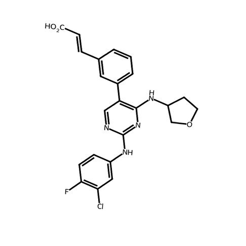 O=C(O)C=Cc1cccc(-c2cnc(Nc3ccc(F)c(Cl)c3)nc2NC2CCOC2)c1